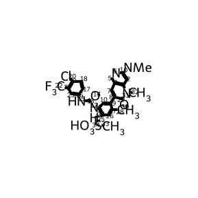 CNc1cc2c(cn1)cc(-c1cc(NC(=O)Nc3ccc(Cl)c(C(F)(F)F)c3)c(F)cc1C)c(=O)n2C.CS(=O)(=O)O